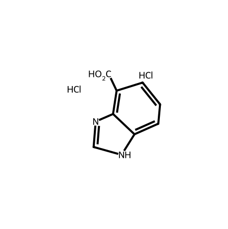 Cl.Cl.O=C(O)c1cccc2[nH]cnc12